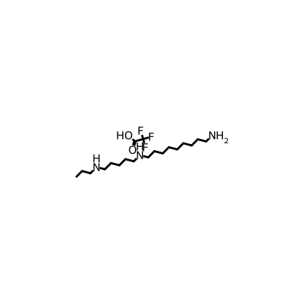 CCCNCCCCCNCCCCCCCCCN.O=C(O)C(F)(F)F